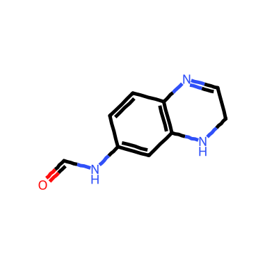 O=CNc1ccc2c(c1)NCC=N2